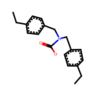 CCc1ccc(CN(Cc2ccc(CC)cc2)C([O])=O)cc1